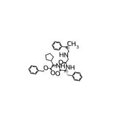 C[C@@H](CNCC(=O)N[C@H](Cc1ccccc1)C(=O)N[C@@H](C(=O)OCc1ccccc1)C1CCCC1)c1ccccc1